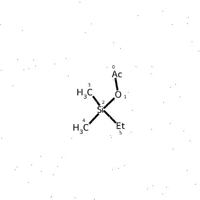 [CH2]C(=O)O[Si](C)(C)CC